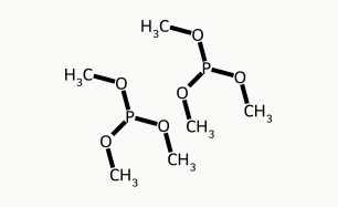 COP(OC)OC.COP(OC)OC